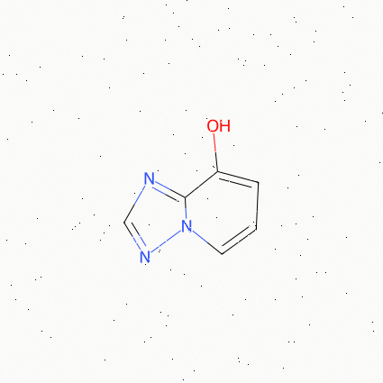 Oc1cccn2ncnc12